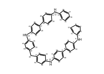 c1ccc(Nc2ccc(-c3ccc(Nc4ccc(Cc5ccc(Nc6ccc(-c7ccc(Nc8ccccc8)cc7)cc6)cc5)cc4)cc3)cc2)cc1